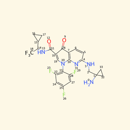 NC1(CNc2ccc3c(=O)c(C(=O)NC(C4CC4)C(F)(F)F)cn(-c4c(F)cc(F)cc4F)c3n2)CC1